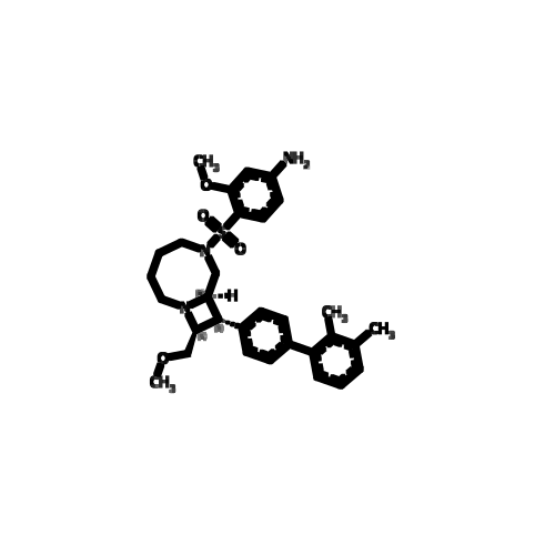 COC[C@@H]1[C@@H](c2ccc(-c3cccc(C)c3C)cc2)[C@@H]2CN(S(=O)(=O)c3ccc(N)cc3OC)CCCCN12